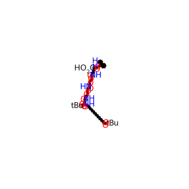 CC(C)(C)OC(=O)CCCCCCCCCCCCCCCCCCC(=O)NC(CCC(=O)NCCOCCOCC(=O)NCCOCCOCC(=O)NCCCCC(NC(=O)OCC1c2ccccc2-c2ccccc21)C(=O)O)C(=O)OC(C)(C)C